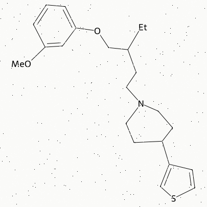 CCC(CCN1CCC(c2ccsc2)CC1)COc1cccc(OC)c1